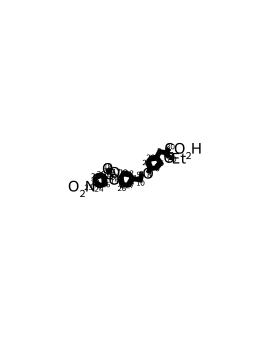 CCOC(Cc1ccc(OCCc2ccc(OS(=O)(=O)c3ccc([N+](=O)[O-])cc3)cc2)cc1)C(=O)O